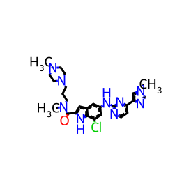 CN1CCN(CCCN(C)C(=O)c2cc3cc(Nc4nccc(-c5cn(C)cn5)n4)cc(Cl)c3[nH]2)CC1